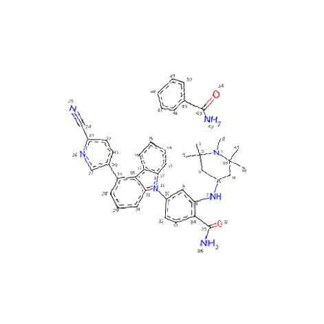 CN1C(C)(C)CC(Nc2cc(-n3c4ccccc4c4c(-c5ccc(C#N)nc5)cccc43)ccc2C(N)=O)CC1(C)C.NC(=O)c1ccccc1